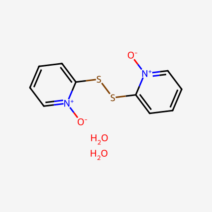 O.O.[O-][n+]1ccccc1SSc1cccc[n+]1[O-]